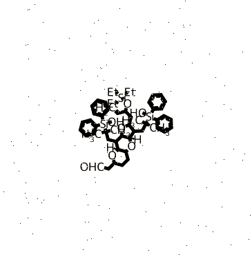 C=CC(CC1OC2C(CC(C)(C)[Si](O)(c3ccccc3)c3ccccc3)[C@H]3OC(CC=O)CCC3O[C@H]2C1CC(C)(C)[Si](O)(c1ccccc1)c1ccccc1)O[Si](CC)(CC)CC